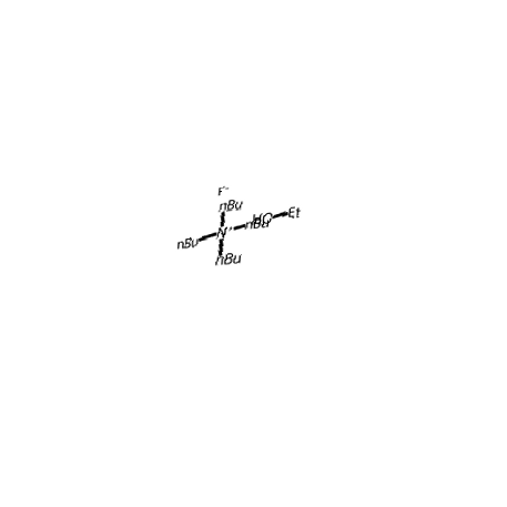 CCCC[N+](CCCC)(CCCC)CCCC.CCO.[F-]